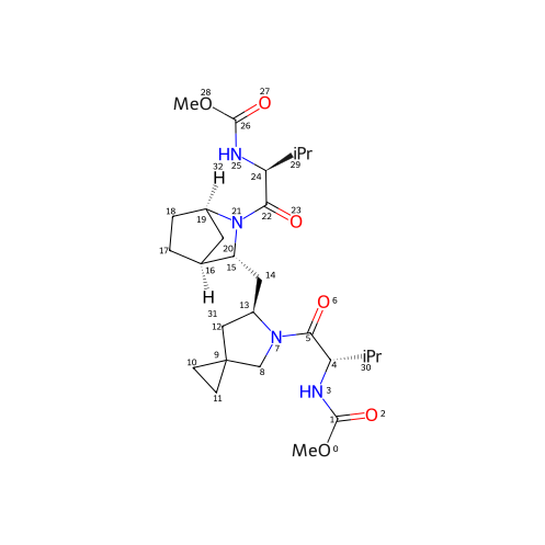 COC(=O)N[C@H](C(=O)N1CC2(CC2)C[C@H]1C[C@@H]1[C@H]2CC[C@H](C2)N1C(=O)[C@@H](NC(=O)OC)C(C)C)C(C)C